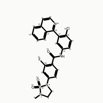 CN1CCN(c2ccc(C(=O)Nc3ccc(Cl)c(-c4nccc5ccccc45)c3)c(F)c2)S1(=O)=O